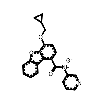 O=C(c1ccc(OCC2CC2)c2oc3ccccc3c12)[NH+]([O-])c1cccnc1